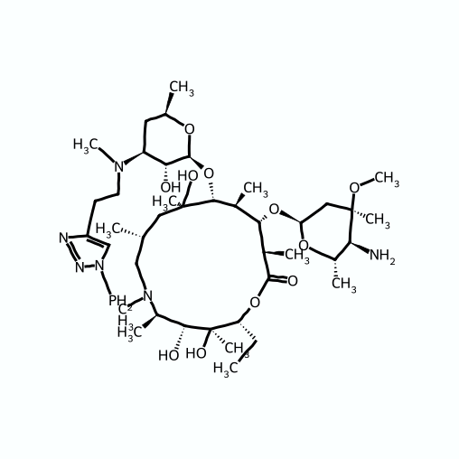 CC[C@H]1OC(=O)[C@H](C)[C@@H](O[C@H]2C[C@@](C)(OC)[C@@H](N)[C@H](C)O2)[C@H](C)[C@@H](O[C@@H]2O[C@H](C)C[C@H](N(C)CCc3cn(P)nn3)[C@H]2O)[C@](C)(O)C[C@@H](C)CN(C)[C@H](C)[C@@H](O)[C@]1(C)O